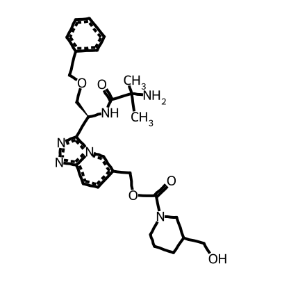 CC(C)(N)C(=O)N[C@H](COCc1ccccc1)c1nnc2ccc(COC(=O)N3CCCC(CO)C3)cn12